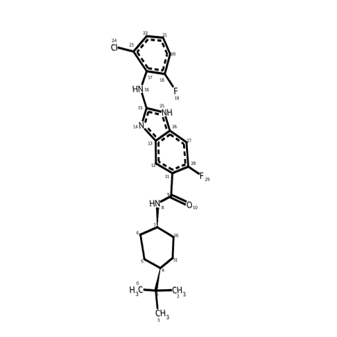 CC(C)(C)[C@H]1CC[C@@H](NC(=O)c2cc3nc(Nc4c(F)cccc4Cl)[nH]c3cc2F)CC1